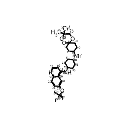 CC1(C)COC2(CCC(N[C@H]3CC[C@H](Nc4ccnc5ccc(OC(F)(F)F)cc45)CC3)CC2)OO1